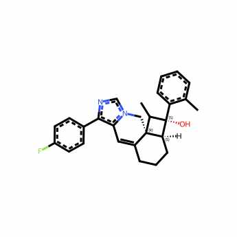 Cc1ccccc1[C@]1(O)C(C)[C@]23Cn4cnc(-c5ccc(F)cc5)c4C=C2CCC[C@@H]31